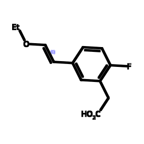 CCO/C=C/c1ccc(F)c(CC(=O)O)c1